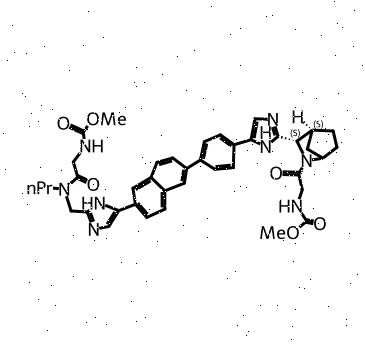 CCCN(Cc1ncc(-c2ccc3cc(-c4ccc(-c5cnc([C@@H]6[C@H]7CCC(C7)N6C(=O)CNC(=O)OC)[nH]5)cc4)ccc3c2)[nH]1)C(=O)CNC(=O)OC